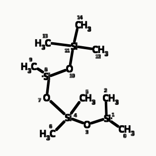 C[Si](C)O[Si](C)(C)O[Si](C)O[Si](C)(C)C